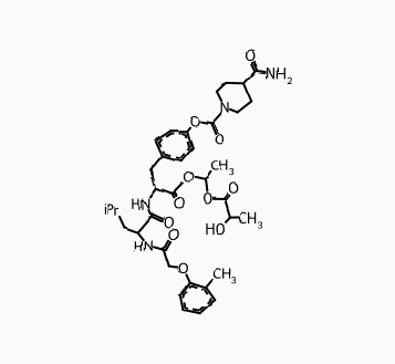 Cc1ccccc1OCC(=O)NC(CC(C)C)C(=O)N[C@@H](Cc1ccc(OC(=O)N2CCC(C(N)=O)CC2)cc1)C(=O)OC(C)OC(=O)C(C)O